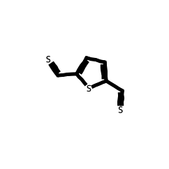 S=Cc1ccc(C=S)s1